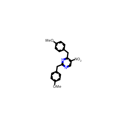 COc1ccc(Cc2ncc([N+](=O)[O-])c(Cc3ccc(OC)cc3)n2)cc1